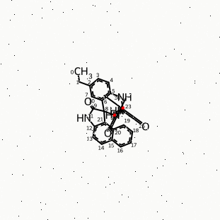 CCc1ccc2c(c1)C1(C(=O)Nc3ccc4ccccc4c31)c1c([nH]c(=O)[nH]c1=O)N2